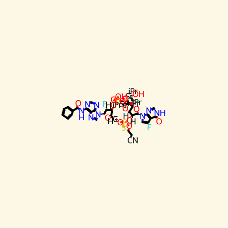 CC(C)[Si](O)(O[Si](O[C@H]1[C@H]2OP(=S)(OCCC#N)OC[C@H]3O[C@@H](n4cnc5c(NC(=O)c6ccccc6)ncnc54)[C@H](F)[C@@H]3OP(=O)(O)OC[C@H]1O[C@H]2n1cc(F)c2c(=O)[nH]cnc21)(C(C)C)C(C)C)C(C)C